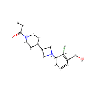 CCC(=O)N1CCC(C2CN(C3CC=CC(CO)=C3F)C2)CC1